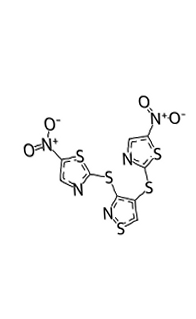 O=[N+]([O-])c1cnc(Sc2csnc2Sc2ncc([N+](=O)[O-])s2)s1